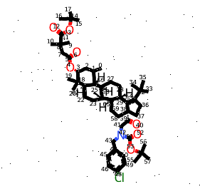 CC1C[C@H](OC(=O)CC(C)(C)C(=O)OC(C)(C)C)C(C)(C)[C@@H]2CC[C@]3(C)[C@H](CC[C@@H]4C5=C(C(C)(C)C)CC[C@@]5(C(=O)CN(Cc5ccc(Cl)cc5)C(=O)OC(C)(C)C)CC[C@H]43)[C@@H]12